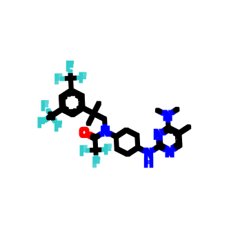 Cc1cnc(NC2CCC(N(CC(C)(C)c3cc(C(F)(F)F)cc(C(F)(F)F)c3)C(=O)C(F)(F)F)CC2)nc1N(C)C